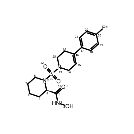 O=C(NO)[C@H]1CCCCN1S(=O)(=O)N1CC=C(c2ccc(F)cc2)CC1